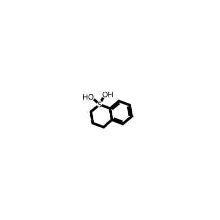 OS1(O)CCCc2c[c]ccc21